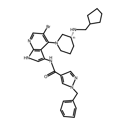 O=C(Nc1c[nH]c2ncc(Br)c(N3CCC[C@@H](NCC4CCCC4)C3)c12)c1cnn(Cc2ccccc2)c1